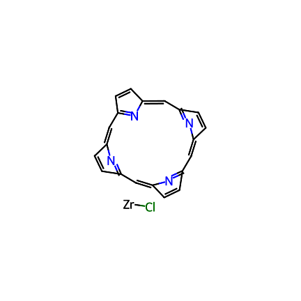 C1=CC2=NC1=CC1=NC(=CC3=NC(=CC4=NC(=C2)C=C4)C=C3)C=C1.[Cl][Zr]